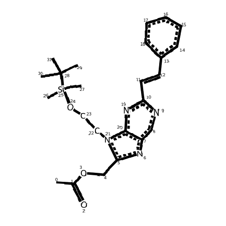 CC(=O)OCc1nc2cnc(/C=C/c3ccccc3)nc2n1CCO[Si](C)(C)C(C)(C)C